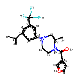 CC(C)c1[c]c(C(F)(F)F)cc(N2CCN(C(=O)c3ccoc3)[C@H](C)C2)c1